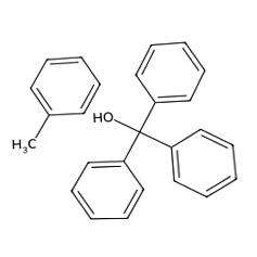 Cc1ccccc1.OC(c1ccccc1)(c1ccccc1)c1ccccc1